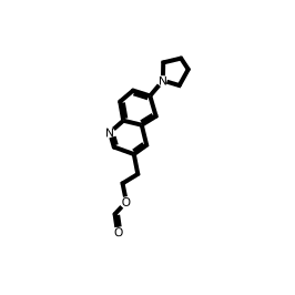 O=COCCc1cnc2ccc(N3CCCC3)cc2c1